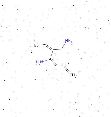 C=C/C=C(N)\C(=C/CC)CN